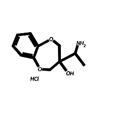 CC(N)C1(O)COc2ccccc2OC1.Cl